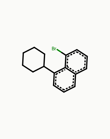 Brc1cccc2cccc(C3CCCCC3)c12